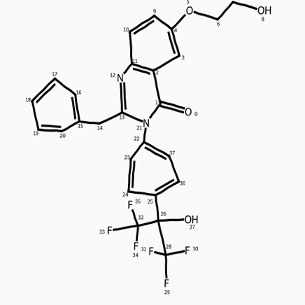 O=c1c2cc(OCCO)ccc2nc(Cc2ccccc2)n1-c1ccc(C(O)(C(F)(F)F)C(F)(F)F)cc1